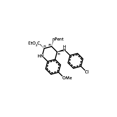 CCCCC[C@H]1[C@@H](C(=O)OCC)Nc2ccc(OC)cc2[C@@H]1Nc1ccc(Cl)cc1